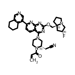 C=CC(=O)N1CCN(c2nc(OC[C@@]34CCCN3C[C@H](F)C4)nc3nc(-c4cncc5c4CCCC5)ccc23)C[C@@H]1CC#N